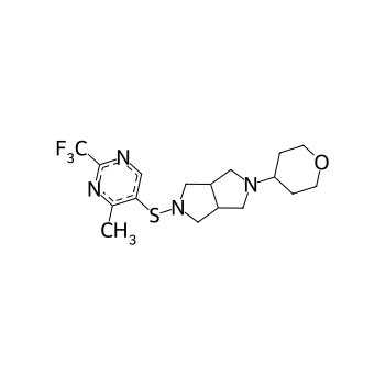 Cc1nc(C(F)(F)F)ncc1SN1CC2CN(C3CCOCC3)CC2C1